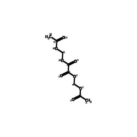 CC(=O)OCOC(=O)C(=O)OCOC(C)=O